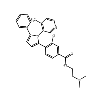 CN(C)CCNC(=O)c1ccc(-c2ccc(-c3ccccc3)n2-c2cnccc2C(F)(F)F)c(Cl)c1